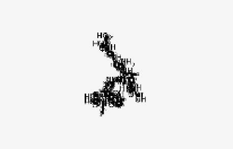 CCC(Cc1cnc2nc(=N)[nH]c(N)c2n1)c1ccc(C(=O)N[C@@H](CCC(=O)O)C(=O)O)cc1.CCCCCN(C)CCC(O)(P(=O)(O)O)P(=O)(O)O.COc1cccc2c1C(=O)c1c(O)c3c(c(O)c1C2=O)C[C@@](O)(C(C)=O)C[C@@H]3O[C@H]1C[C@H](N)[C@H](O)[C@H](C)O1.Nc1nc(N)c2nc(CNc3ccc(C(=O)NC(CCC(=O)O)C(=O)O)cc3)cnc2n1